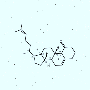 CC(C)=CCC[C@@H](C)[C@H]1CC[C@H]2[C@@H]3CC=C4CCCC(=O)[C@]4(C)[C@H]3CC[C@]12C